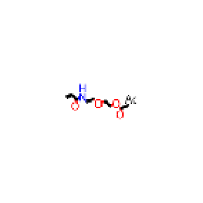 C=CC(=O)NCCOCCOC(=O)CC(C)=O